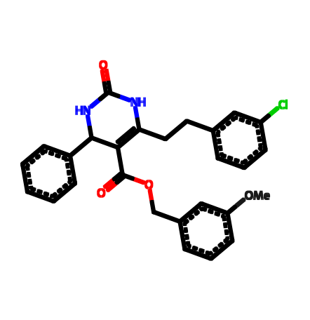 COc1cccc(COC(=O)C2=C(CCc3cccc(Cl)c3)NC(=O)NC2c2ccccc2)c1